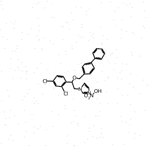 Clc1ccc(C(Cn2ccnc2)OCc2ccc(-c3ccccc3)cc2)c(Cl)c1.O=[N+]([O-])O